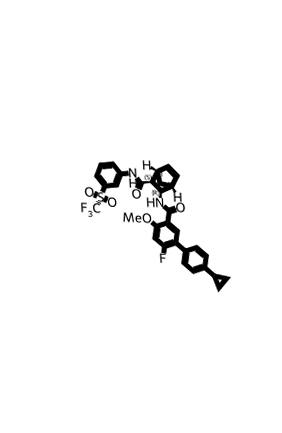 COc1cc(F)c(-c2ccc(C3CC3)cc2)cc1C(=O)N[C@H]1[C@@H](C(=O)Nc2cccc(S(=O)(=O)C(F)(F)F)c2)[C@@H]2C=C[C@H]1C2